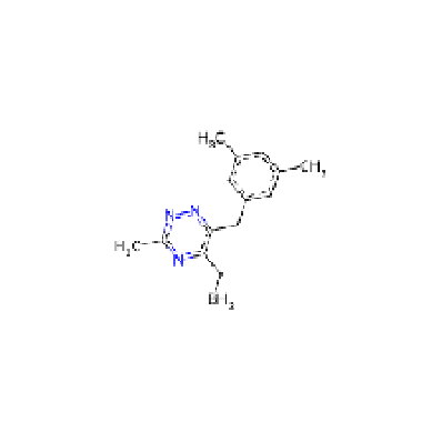 BCc1nc(C)nnc1Cc1cc(C)cc(C)c1